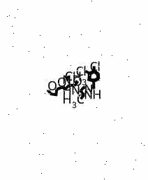 CC1NN(Cc2ccc(Cl)c(Cl)c2)CC1NC(=O)C1CC(C2CCCO2)ON1C